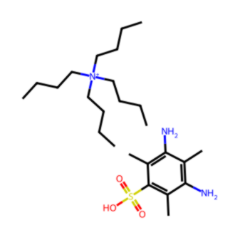 CCCC[N+](CCCC)(CCCC)CCCC.Cc1c(N)c(C)c(S(=O)(=O)O)c(C)c1N